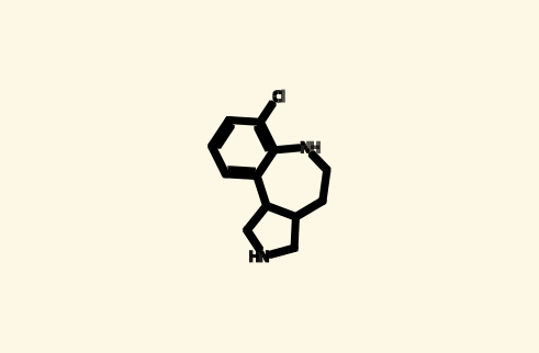 Clc1cccc2c1NCCC1CNCC21